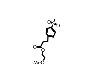 COCCOC(=O)CCc1ccc(S(C)(=O)=O)cc1